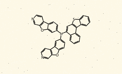 c1ccc2c(c1)sc1cc(N(c3ccc4c(c3)oc3cnccc34)c3ccc4oc5cnccc5c4c3)c3ccccc3c12